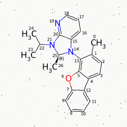 Cc1ccc2c(oc3ccccc32)c1N1c2cccnc2N(C(C)C)[C@@H]1C